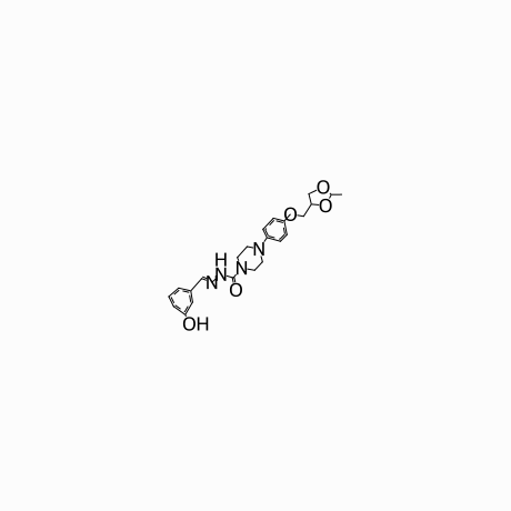 CC1OCC(COc2ccc(N3CCN(C(=O)N/N=C/c4cccc(O)c4)CC3)cc2)O1